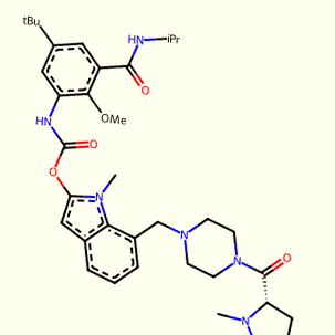 COc1c(NC(=O)Oc2cc3cccc(CN4CCN(C(=O)[C@@H]5CCCN5C)CC4)c3n2C)cc(C(C)(C)C)cc1C(=O)NC(C)C